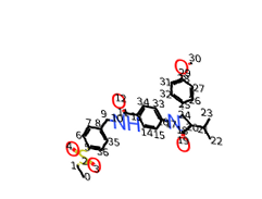 CCS(=O)(=O)c1ccc(CNC(=O)c2ccc(N3C(=O)[C@H](C(C)C)[C@H]3c3ccc(OC)cc3)cc2)cc1